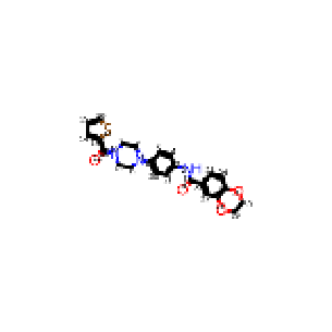 O=C(Nc1ccc(N2CCN(C(=O)c3cccs3)CC2)cc1)c1ccc2c(c1)OCCO2